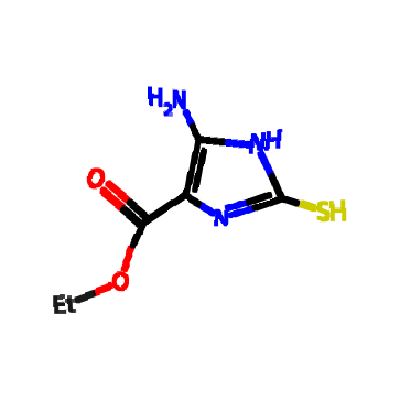 CCOC(=O)c1nc(S)[nH]c1N